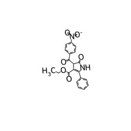 CCOC(=O)C1=C(c2ccccc2)NC(=O)C1C(=O)c1ccc([N+](=O)[O-])cc1